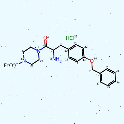 CCOC(=O)N1CCN(C(=O)C(N)Cc2ccc(OCc3ccccc3)cc2)CC1.Cl